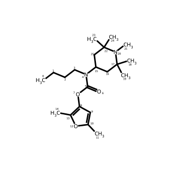 CCCCN(C(=O)Oc1cc(C)oc1C)C1CC(C)(C)N(C)C(C)(C)C1